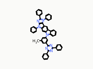 Cc1cc(-c2nc(-c3ccccc3)nc(-c3ccccc3)n2)cc(-n2c3ccccc3c3cc4c5c(nc(-c6ccccc6)n5-c5ccccc5)n(-c5ccccc5)c4cc32)c1